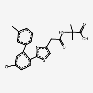 Cc1cccc(-c2cc(Cl)ccc2-c2nc(CC(=O)NC(C)(C)C(=O)O)cs2)c1